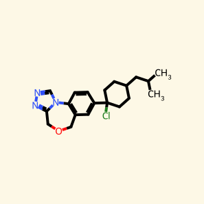 CC(C)CC1CCC(Cl)(c2ccc3c(c2)COCc2nncn2-3)CC1